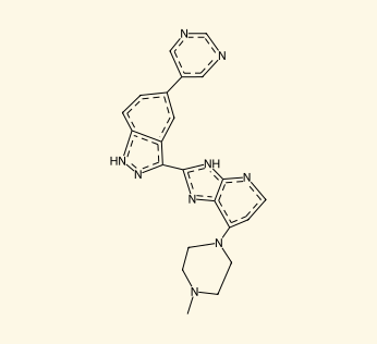 CN1CCN(c2ccnc3[nH]c(-c4n[nH]c5ccc(-c6cncnc6)cc45)nc23)CC1